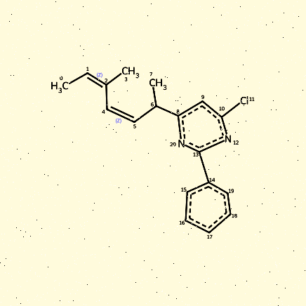 C/C=C(C)\C=C/C(C)c1cc(Cl)nc(-c2ccccc2)n1